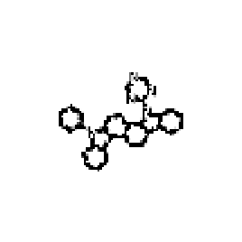 c1ccc(-n2c3ccccc3c3c4ccc5c6ccccc6n(-c6ncncn6)c5c4ccc32)cc1